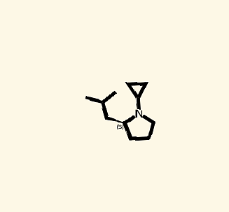 CC(C)C[C@@H]1CCCN1C1CC1